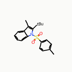 Cc1ccc(S(=O)(=O)n2c(C(C)(C)C)c(C)c3ccccc32)cc1